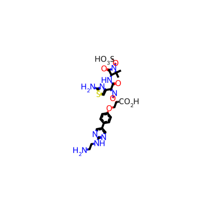 CC1(C)C(NC(=O)C(=NOC(COc2ccc(-c3cnc(NCCN)nc3)cc2)C(=O)O)c2csc(N)n2)C(=O)N1OS(=O)(=O)O